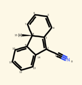 N#CC1=C2C=CC=C[C@H]2c2ccccc21